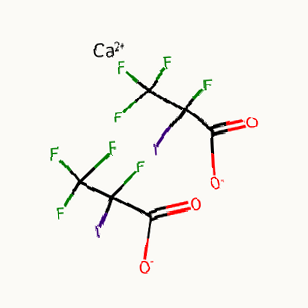 O=C([O-])C(F)(I)C(F)(F)F.O=C([O-])C(F)(I)C(F)(F)F.[Ca+2]